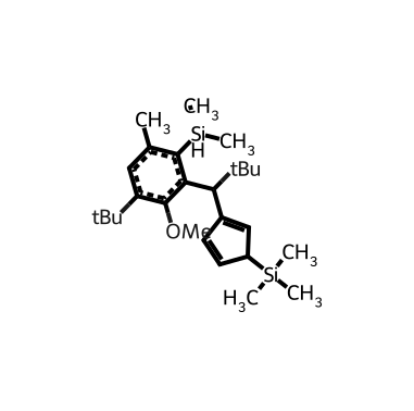 COc1c(C(C)(C)C)cc(C)c([SiH](C)C)c1C(C1=CC([Si](C)(C)C)C=C1)C(C)(C)C